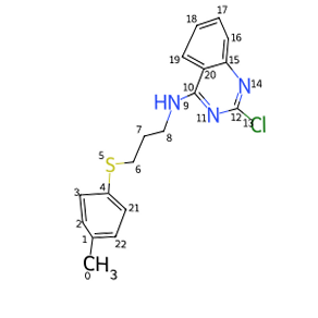 Cc1ccc(SCCCNc2nc(Cl)nc3ccccc23)cc1